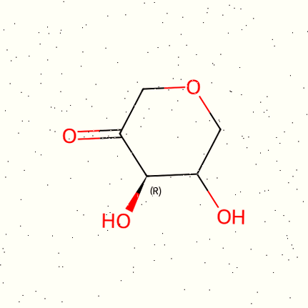 O=C1COCC(O)[C@H]1O